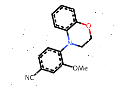 COc1cc(C#N)ccc1N1CCOc2ccccc21